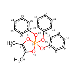 CC1=C(C)OP(Oc2ccccc2)(Oc2ccccc2)(Oc2ccccc2)O1